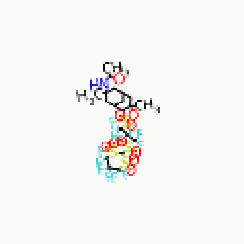 CC(=O)NC1(C)CC2CC(C1)CC(C)(OS(=O)(=O)C(F)(F)C(F)(F)C(F)(F)S(=O)(=O)C1S(=O)(=O)C(F)(F)C(F)(F)C(F)(F)S1(=O)=O)C2